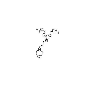 CCO[SiH](CCCCN1CCOCC1)OCC